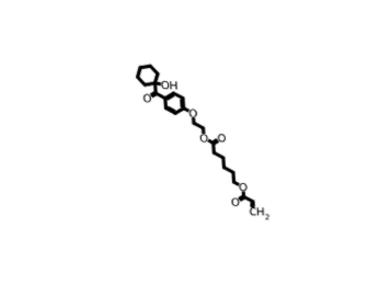 C=CC(=O)OCCCCCC(=O)OCCOc1ccc(C(=O)C2(O)CCCCC2)cc1